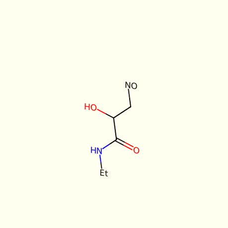 CCNC(=O)C(O)CN=O